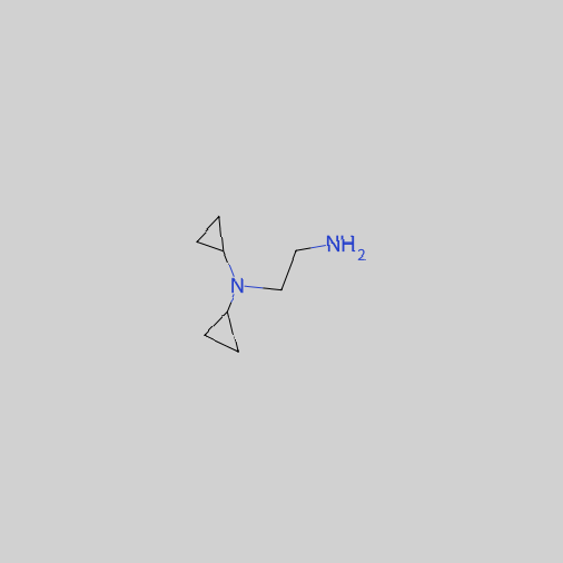 NCCN(C1CC1)C1CC1